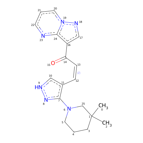 CC1(C)CCCN(c2n[nH]cc2/C=C\C(=O)c2cnn3cccnc23)C1